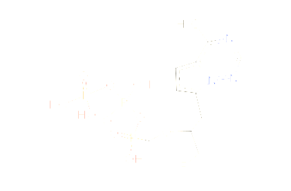 Cc1ncnn2c(CC(CF)OCP(=O)(O)OP(=O)(O)OP(=O)(O)O)ccc12